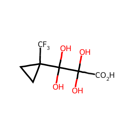 O=C(O)C(O)(O)C(O)(O)C1(C(F)(F)F)CC1